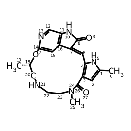 Cc1cc2c([nH]1)/C=C1\C(=O)Nc3cnc(cc31)O[C@@H](C)CNCCN(C)C2=O